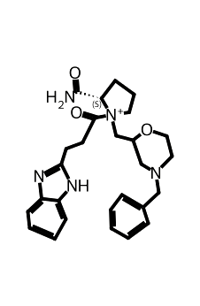 NC(=O)[C@@H]1CCC[N+]1(CC1CN(Cc2ccccc2)CCO1)C(=O)CCc1nc2ccccc2[nH]1